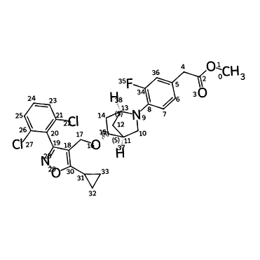 COC(=O)Cc1ccc(N2C[C@@H]3C[C@H]2C[C@H]3OCc2c(-c3c(Cl)cccc3Cl)noc2C2CC2)c(F)c1